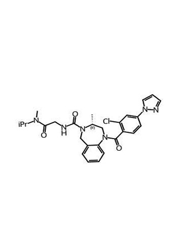 CC(C)N(C)C(=O)CNC(=O)N1Cc2ccccc2N(C(=O)c2ccc(-n3cccn3)cc2Cl)C[C@H]1C